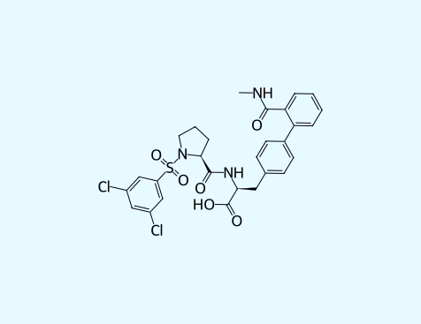 CNC(=O)c1ccccc1-c1ccc(C[C@H](NC(=O)[C@@H]2CCCN2S(=O)(=O)c2cc(Cl)cc(Cl)c2)C(=O)O)cc1